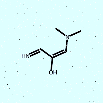 CN(C)/C=C(/O)C=N